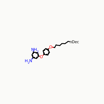 CCCCCCCCCCCCCCCCOc1ccc(Oc2cc(N)cc(N)c2)cc1